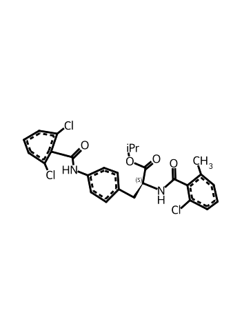 Cc1cccc(Cl)c1C(=O)N[C@@H](Cc1ccc(NC(=O)c2c(Cl)cccc2Cl)cc1)C(=O)OC(C)C